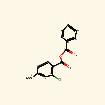 COc1ccc(C(=O)OC(=O)c2ccccc2)c(Cl)c1